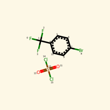 FC(F)(F)c1ccc(Br)cc1.O=S(=O)(Cl)Cl